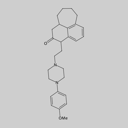 COc1ccc(N2CCN(CCC3C(=O)CC4CCCCc5cccc3c54)CC2)cc1